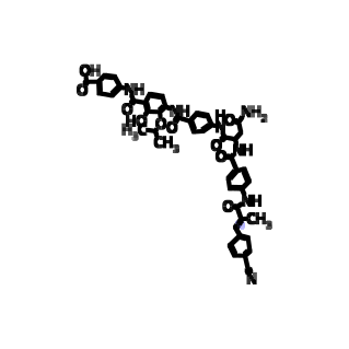 C/C(=C\c1ccc(C#N)cc1)C(=O)Nc1ccc(C(=O)NC(CC(N)=O)C(=O)Nc2ccc(C(=O)Nc3ccc(C(=O)Nc4ccc(C(=O)O)cc4)c(O)c3OC(C)C)cc2)cc1